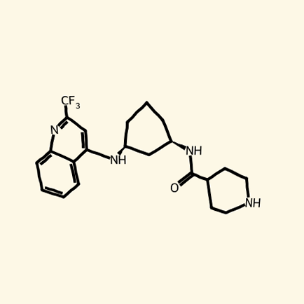 O=C(N[C@@H]1CCC[C@H](Nc2cc(C(F)(F)F)nc3ccccc23)C1)C1CCNCC1